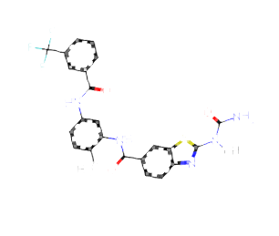 Cc1ccc(NC(=O)c2cccc(C(F)(F)F)c2)cc1NC(=O)c1ccc2nc(N(C)C(N)=O)sc2c1